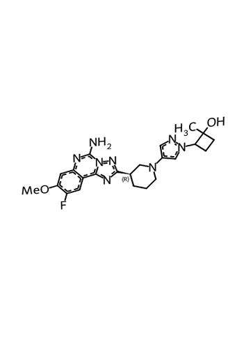 COc1cc2nc(N)n3nc([C@@H]4CCCN(c5cnn(C6CCC6(C)O)c5)C4)nc3c2cc1F